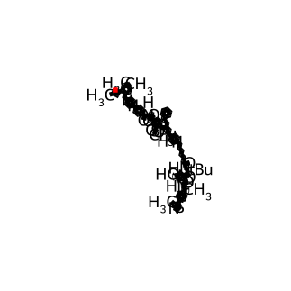 Cc1ncsc1-c1ccc([C@H](C)NC(=O)[C@@H]2C[C@@H](O)CN2C(=O)C(NC(=O)CCCCCCN2CCN(CCC(CSc3ccccc3)Nc3ccc(S(=O)(=O)NC(=O)c4ccc(N5CCN(CC6=C(C78CC(C)(C7)C8)CC(C)(C)CC6)CC5)cc4)cc3S(=O)(=O)C(F)(F)F)CC2)C(C)(C)C)cc1